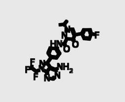 CC(C)n1cc(-c2ccc(F)cc2)c(=O)c(C(=O)Nc2ccc(-c3nn(C(F)C(F)F)c4ncnc(N)c34)cc2)n1